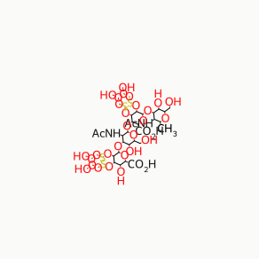 CC(=O)NC1C(C)OC(CO)C(O)C1OC1OC(C(=O)O)C(OC2OC(CO)C(O)C(OC3OC(C(=O)O)C(O)C(OSOOO)C3OSOOO)C2NC(C)=O)C(OSOOO)C1OSOOO